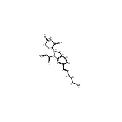 O=CC(=O)C1c2cc(/C=C/OCCO)ccc2CN1C1CCC(=O)NC1=O